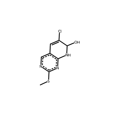 CSc1ncc2c(n1)NC(O)C(Cl)=C2